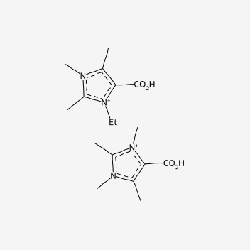 CC[n+]1c(C(=O)O)c(C)n(C)c1C.Cc1c(C(=O)O)[n+](C)c(C)n1C